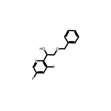 OC(COCc1ccccc1)c1ncc(F)cc1F